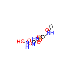 O=C(CC1CCCCC1)NCCc1ccc(S(=O)(=O)NC(=O)c2ccc(OC(=O)NCCO)nc2)cc1